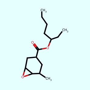 CCCCC(CC)OC(=O)C1CC(C)C2OC2C1